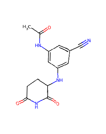 CC(=O)Nc1cc(C#N)cc(NC2CCC(=O)NC2=O)c1